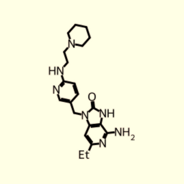 CCc1cc2c([nH]c(=O)n2Cc2ccc(NCCN3CCCCC3)nc2)c(N)n1